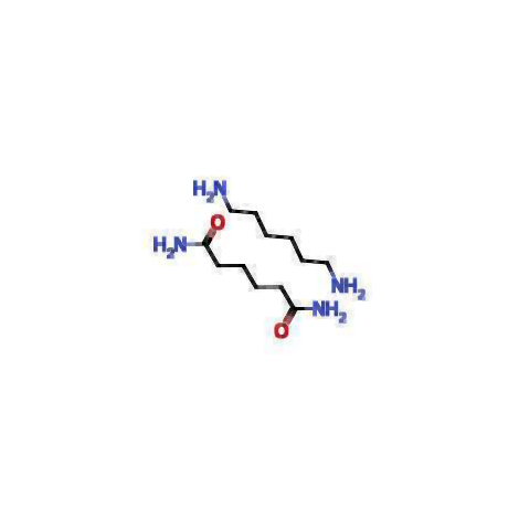 NC(=O)CCCCC(N)=O.NCCCCCCN